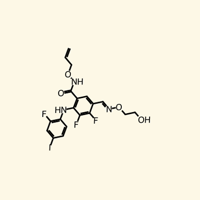 C=CCONC(=O)c1cc(/C=N/OCCO)c(F)c(F)c1Nc1ccc(I)cc1F